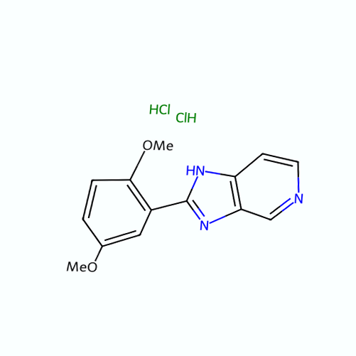 COc1ccc(OC)c(-c2nc3cnccc3[nH]2)c1.Cl.Cl